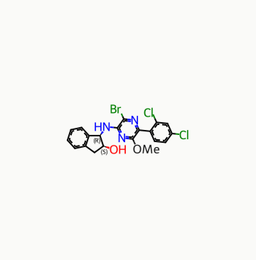 COc1nc(N[C@@H]2c3ccccc3C[C@@H]2O)c(Br)nc1-c1ccc(Cl)cc1Cl